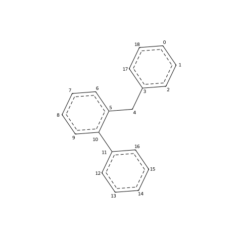 c1ccc(Cc2ccccc2-c2ccccc2)cc1